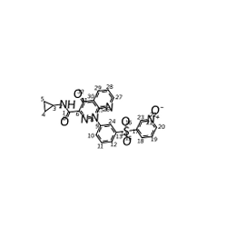 O=C(NC1CC1)c1nn(-c2cccc(S(=O)(=O)c3ccc[n+]([O-])c3)c2)c2ncccc2c1=O